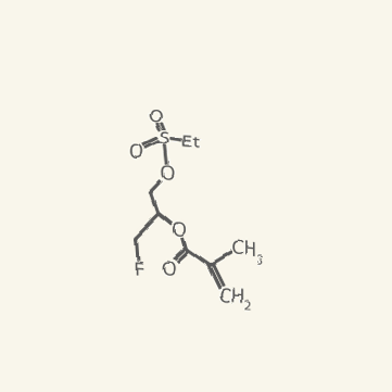 C=C(C)C(=O)OC(CF)COS(=O)(=O)CC